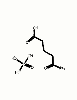 NC(=O)CCCC(=O)O.O=P(O)(O)O